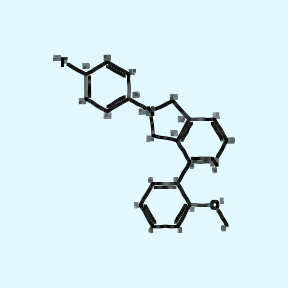 COc1ccccc1-c1nccc2c1CN(c1ccc(F)cc1)C2